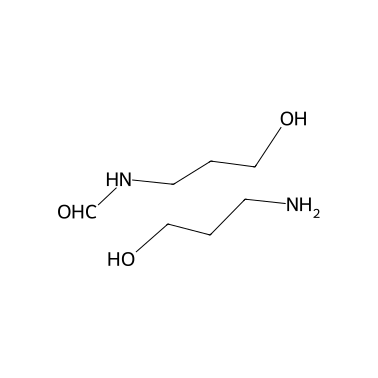 NCCCO.O=CNCCCO